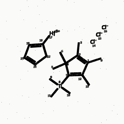 CC1=C(C)C(C)(C)[C]([Ti]([CH3])([CH3])[CH3])=C1C.[Cl-].[Cl-].[Cl-].[Hf+3][C]1=CC=CC1